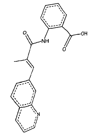 C/C(=C\c1ccc2cccnc2c1)C(=O)Nc1ccccc1C(=O)O